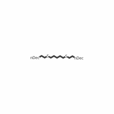 CCCCCCCCCCCCSCCCCCSCCCCCCCCCCCC